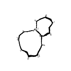 C1CCCN2CCCC[C]2CC1